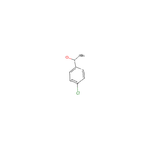 CCCCC([O])c1ccc(Cl)cc1